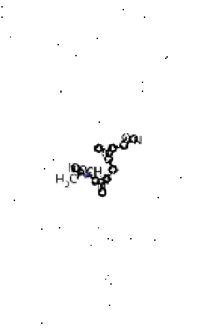 C=Cc1c(/C=C(\C)c2ccc3c(c2)c2cc(-c4cccc(-c5ccc6c(c5)c5cc(-c7ccc8c(c7)oc7ccncc78)ccc5n6-c5ccccc5)c4)ccc2n3-c2ccccc2)oc2ccncc12